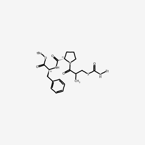 CCNC(=O)SCC(C)C(=O)N1CCC[C@H]1C(=O)N[C@@H](Cc1ccccc1)C(=O)OC(C)(C)C